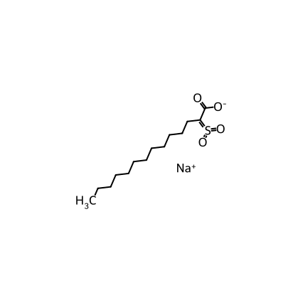 CCCCCCCCCCCCC(C(=O)[O-])=S(=O)=O.[Na+]